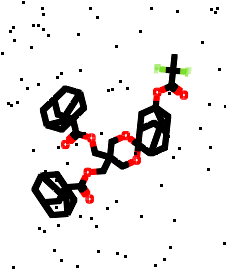 CC(F)(F)C(=O)OC12CC3CC(C1)C1(OCC(COC(=O)C45CC6CC(CC(C6)C4)C5)(COC(=O)C45CC6CC(CC(C6)C4)C5)CO1)C(C3)C2